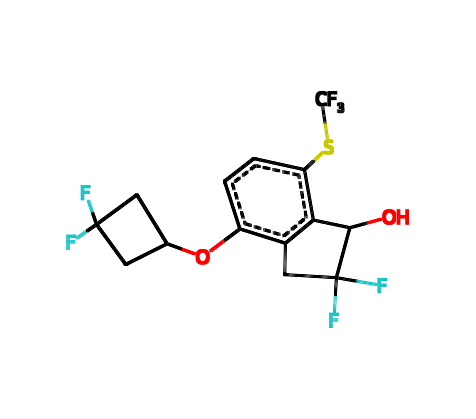 OC1c2c(SC(F)(F)F)ccc(OC3CC(F)(F)C3)c2CC1(F)F